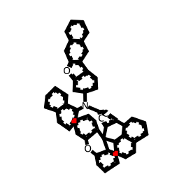 c1ccc2c(c1)Oc1ccccc1C21c2cc(N(c3ccc4c(c3)oc3cc5ccccc5cc34)c3cccc4ccccc34)ccc2-c2cccc3cccc1c23